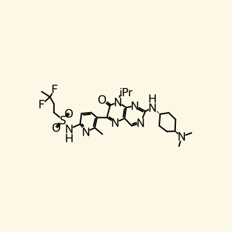 Cc1nc(NS(=O)(=O)CCC(C)(F)F)ccc1-c1nc2cnc(N[C@H]3CC[C@H](N(C)C)CC3)nc2n(C(C)C)c1=O